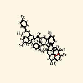 CCc1ccc(C(C)CC(CC(C)(CC(CC)c2ccc(CC)cc2)C(=O)N2CCN(C(=O)C(C)(CC(CC)c3ccc(CC)cc3)CC(CC(C)c3ccc(CC)cc3)c3ccc(CC)cc3)CC2)c2ccc(CC)cc2)cc1